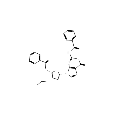 O=C(Nc1nc2c(ncn2[C@H]2C[C@H](OCCl)[C@@H](OC(=O)c3ccccc3)O2)c(=O)[nH]1)c1ccccc1